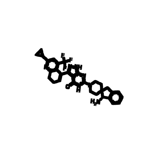 N[C@@H]1c2ccccc2CC12CCN(c1nc3[nH]nc(C4=CCCc5nc(C6CC6)cc(C(F)(F)F)c54)c3c(=O)[nH]1)CC2